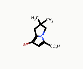 CC1(C)Cc2c(Br)cc(C(=O)O)n2C1